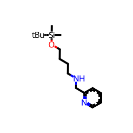 CC(C)(C)[Si](C)(C)OCCCCNCc1ccccn1